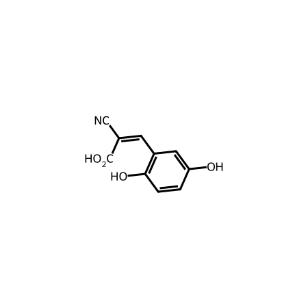 N#C/C(=C/c1cc(O)ccc1O)C(=O)O